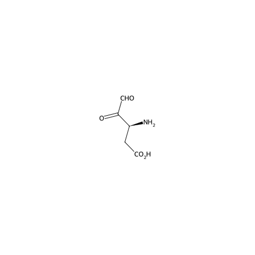 N[C@@H](CC(=O)O)C(=O)C=O